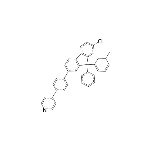 CC1C=CC=C(C2(c3ccccc3)c3cc(Cl)ccc3-c3ccc(-c4ccc(-c5ccncc5)cc4)cc32)C1